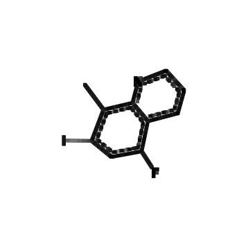 Cc1c(I)cc(F)c2cccnc12